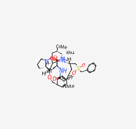 CC[C@H](C)[C@@H]([C@@H](CC(=O)N1CCC[C@H]1[C@@H]1OCC2C=CC(=CC2)C[C@@H](CS(=O)(=O)Cc2ccccc2)NC(=O)[C@@H]1C)OC)N(C)C(=O)[C@@H](NC(=O)[C@@H](NC)C(C)C)C(C)C